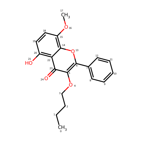 CCCCOc1c(-c2ccccc2)oc2c(OC)ccc(O)c2c1=O